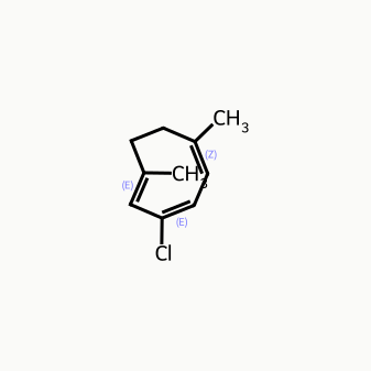 C/C1=C/C=C(Cl)\C=C(/C)CC1